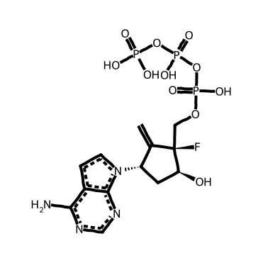 C=C1[C@@H](n2ccc3c(N)ncnc32)C[C@H](O)[C@@]1(F)COP(=O)(O)OP(=O)(O)OP(=O)(O)O